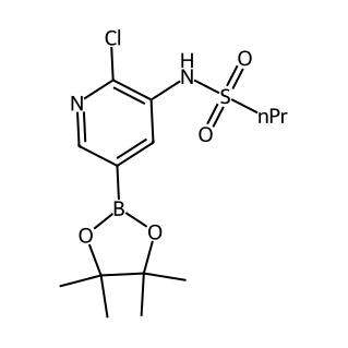 CCCS(=O)(=O)Nc1cc(B2OC(C)(C)C(C)(C)O2)cnc1Cl